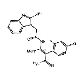 CN/C(NC(=O)Cn1c(C(C)C)nc2ccccc21)=C(\C(C)=N)c1ccc(Cl)cc1F